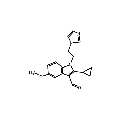 COc1ccc2c(c1)c(C=O)c(C1CC1)n2CCn1ccnc1